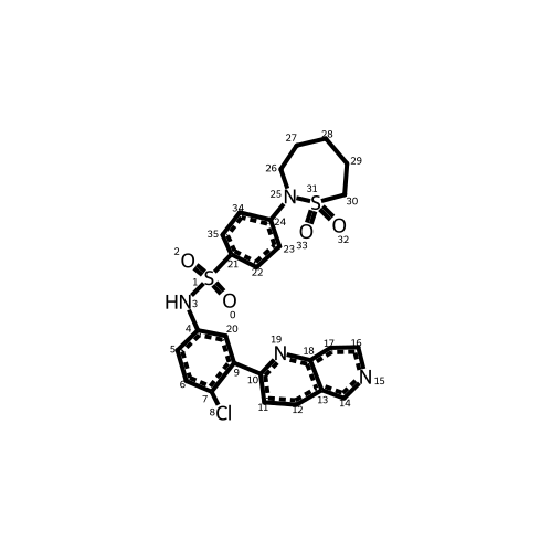 O=S(=O)(Nc1ccc(Cl)c(-c2ccc3cnccc3n2)c1)c1ccc(N2CCCCCS2(=O)=O)cc1